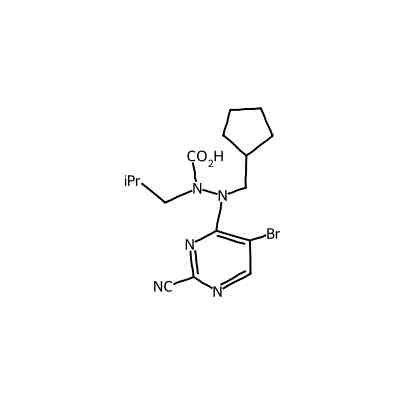 CC(C)CN(C(=O)O)N(CC1CCCC1)c1nc(C#N)ncc1Br